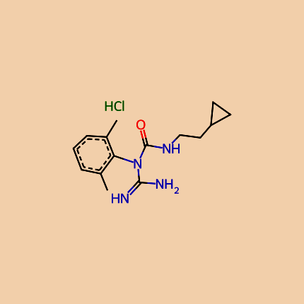 Cc1cccc(C)c1N(C(=N)N)C(=O)NCCC1CC1.Cl